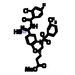 COC(=O)CC[C@H]1CN(S(=O)(=O)c2cccc(C(F)(F)F)c2)c2cc(/C(=N\O)NC(=O)c3ccc(F)cc3Cl)ccc2O1